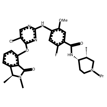 COc1cc(C(=O)N[C@H]2CCN(C(C)C)C[C@H]2C)c(F)cc1Nc1ncc(Cl)c(Oc2cccc3c2C(=O)N(C)[C@H]3C)n1